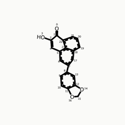 O=C1C(O)=Cc2cc(-c3ccc4c(c3)OCO4)cc3cccc1c23